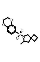 CC1CC2(CCC2)CN1S(=O)(=O)c1ccc2c(c1)OCCO2